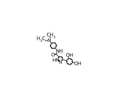 CCN(CC)c1ccc(NC(=O)c2cc(-c3ccc(O)cc3O)n[nH]2)cc1